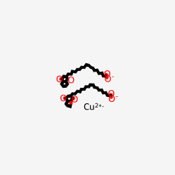 O=C([O-])CCCCCCC/C=C\CCCCCCCCC1=CC(=O)c2ccccc2C1=O.O=C([O-])CCCCCCC/C=C\CCCCCCCCC1=CC(=O)c2ccccc2C1=O.[Cu+2]